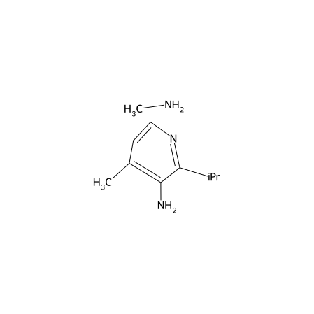 CN.Cc1ccnc(C(C)C)c1N